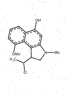 COc1cccc2c(O)cc3c(c12)C(C(C)Cl)CN3C(C)(C)C